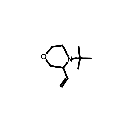 C=CC1COCCN1C(C)(C)C